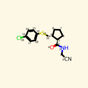 N#CCNC(=O)[C@@H]1CCC[C@H]1CSc1ccc(Cl)cc1